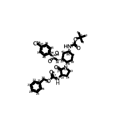 CC(C)(C)OC(=O)N[C@@H]1CC[C@H](N2CCC(NC(=O)OCc3ccccc3)C2=O)[C@H](CS(=O)(=O)c2ccc(Cl)cc2)C1